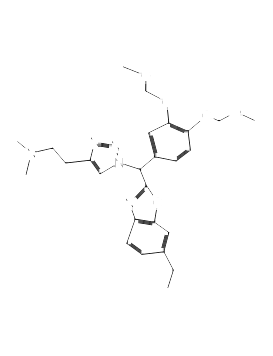 CCc1ccc2nc(C(c3ccc(OCOC)c(OCOC)c3)n3cc(CCN(C)C)nn3)oc2c1